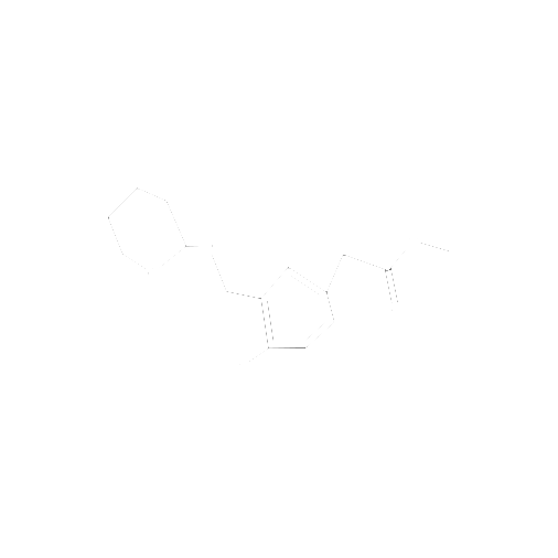 COC(=O)Cc1ccc(Br)c(COC2CCCCO2)c1